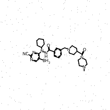 Bc1cnc(C#N)nc1N(NC(=O)c1cccc(CN2CCC(C(=O)N3CCN(C)CC3)CC2)c1)C1CCCCC1